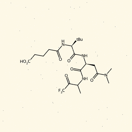 CC(NC(=O)[C@H](CC(=O)N(C)C)NC(=O)[C@@H](NC(=O)CCCC(=O)O)C(C)(C)C)C(=O)C(F)(F)F